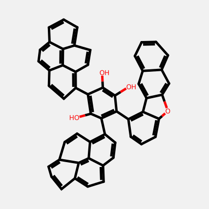 Oc1c(O)c(-c2cccc3oc4cc5ccccc5cc4c23)c(-c2ccc3ccc4cccc5ccc2c3c45)c(O)c1-c1ccc2ccc3cccc4ccc1c2c34